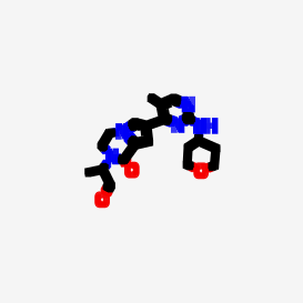 Cc1cnc(NC2CCOCC2)nc1-c1cc2n(c1)CCN(C(C)C=O)C2=O